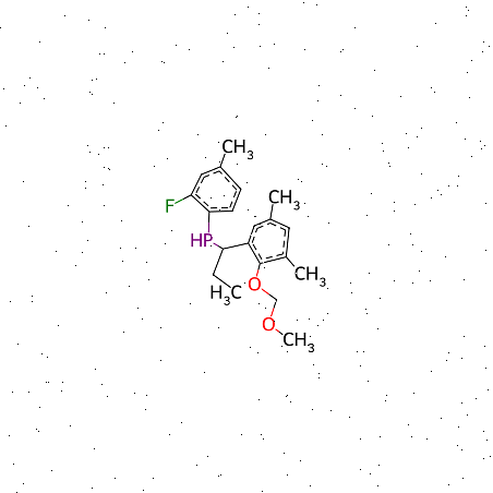 CCC(Pc1ccc(C)cc1F)c1cc(C)cc(C)c1OCOC